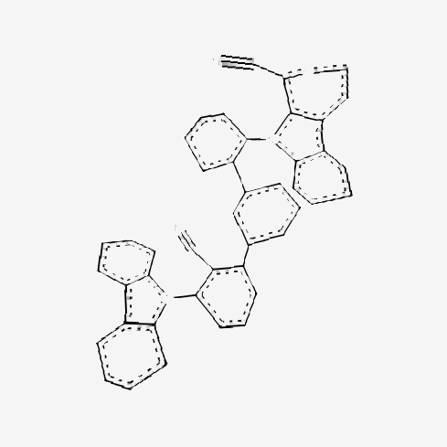 N#Cc1c(-c2cccc(-c3ccccc3-n3c4ccccc4c4cccc(C#N)c43)c2)cccc1-n1c2ccccc2c2ccccc21